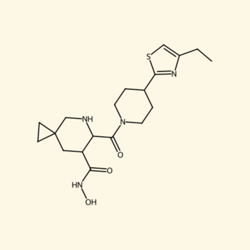 CCc1csc(C2CCN(C(=O)C3NCC4(CC4)CC3C(=O)NO)CC2)n1